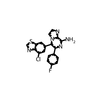 Nc1nc(-c2ccc(F)cc2)c(-c2cc(Cl)c3ncsc3c2)n2ccnc12